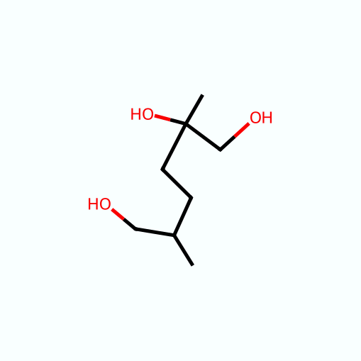 CC(CO)CCC(C)(O)CO